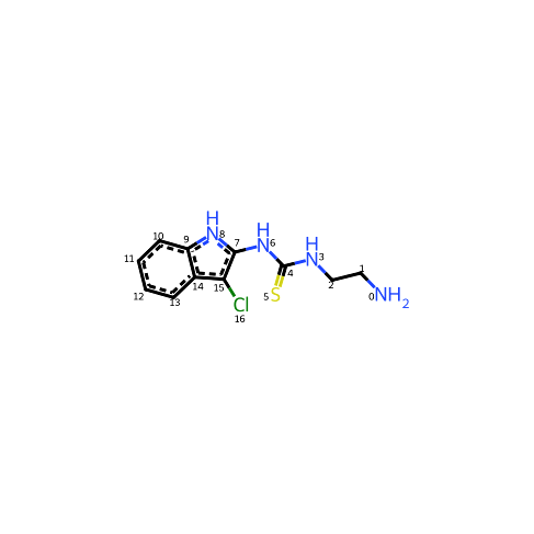 NCCNC(=S)Nc1[nH]c2ccccc2c1Cl